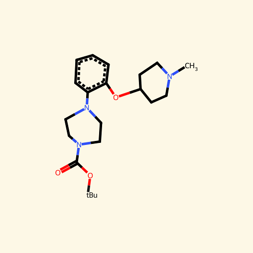 CN1CCC(Oc2ccccc2N2CCN(C(=O)OC(C)(C)C)CC2)CC1